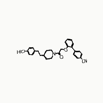 N#Cc1ccc(-c2ccccc2OCC(=O)N2CCC(CCc3ccc(O)cc3)CC2)cc1